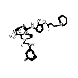 Cc1c(NC(=O)CCN2CCCCC2)cccc1N/C(=N/C#N)N1CCN(C(=O)Nc2cccc(F)c2)CC1C(C)C